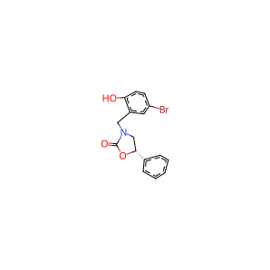 O=C1O[C@@H](c2ccccc2)CN1Cc1cc(Br)ccc1O